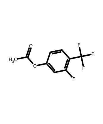 CC(=O)Oc1ccc(C(F)(F)F)c(F)c1